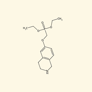 CCOP(=O)(COc1ccc2c(c1)CCNC2)OCC